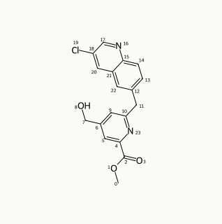 COC(=O)c1cc(CO)cc(Cc2ccc3ncc(Cl)cc3c2)n1